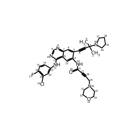 CC(C)(C#Cc1cc2ncnc(Nc3ccc(F)c(Cl)c3)c2cc1NC(=O)C#CCN1CCOCC1)N1CCCC1